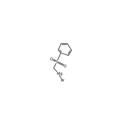 O=S(=O)([CH2][Mg][Br])c1ccccc1